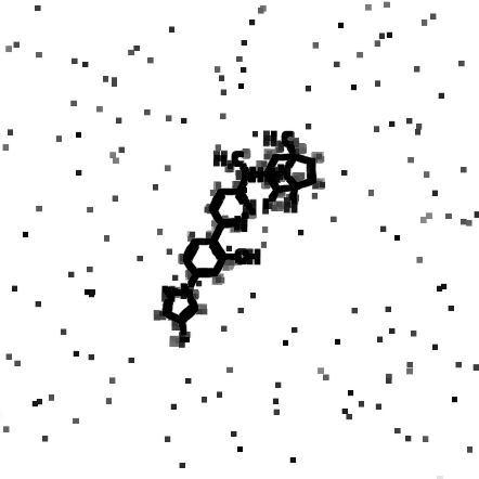 CN(c1ccc(-c2ccc(-n3cc(F)cn3)cc2O)nn1)[C@H]1C[C@]2(C)C=C[C@H]([C@H]1F)N2C